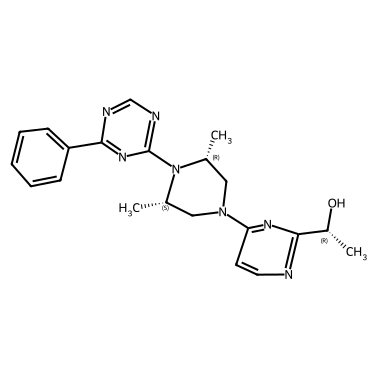 C[C@@H]1CN(c2ccnc([C@@H](C)O)n2)C[C@H](C)N1c1ncnc(-c2ccccc2)n1